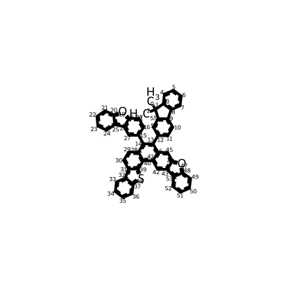 CC1(C)c2ccccc2-c2ccc(-c3c(-c4ccc5oc6ccccc6c5c4)c4ccc5c6ccccc6sc5c4c4cc5c(cc34)oc3ccccc35)cc21